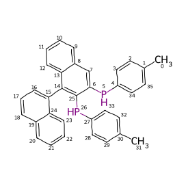 Cc1ccc(Pc2cc3ccccc3c(-c3cccc4ccccc34)c2Pc2ccc(C)cc2)cc1